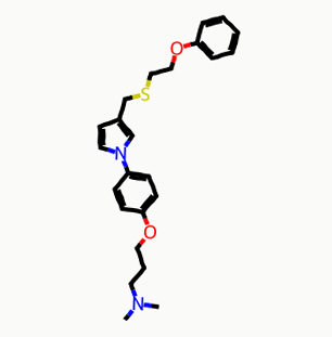 CN(C)CCCOc1ccc(-n2ccc(CSCCOc3ccccc3)c2)cc1